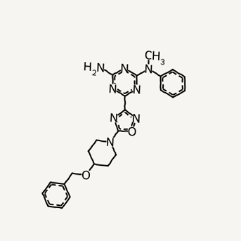 CN(c1ccccc1)c1nc(N)nc(-c2noc(N3CCC(OCc4ccccc4)CC3)n2)n1